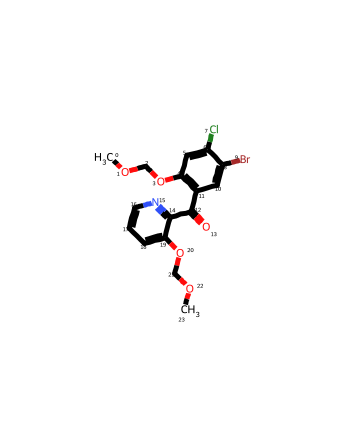 COCOc1cc(Cl)c(Br)cc1C(=O)c1ncccc1OCOC